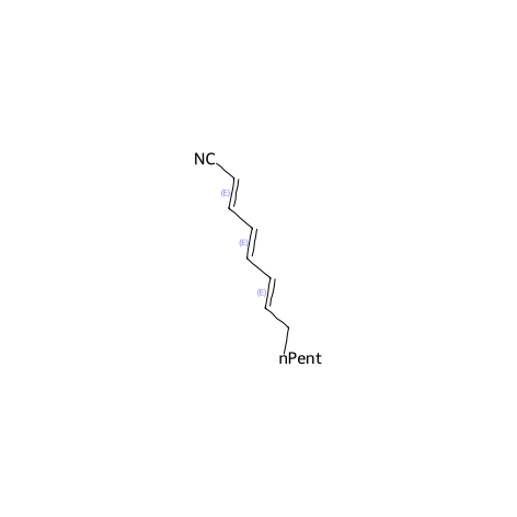 CCCCCC/C=C/C=C/C=C/C#N